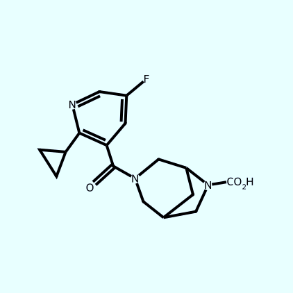 O=C(c1cc(F)cnc1C1CC1)N1CC2CC(C1)N(C(=O)O)C2